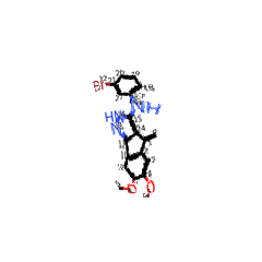 C=C1c2cc(OC)c(OC)cc2-c2n[nH]c(Nc3cccc(Br)c3)c21